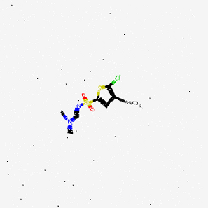 CN(C)C=NS(=O)(=O)c1cc([N+](=O)[O-])c(Cl)s1